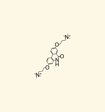 C[N+](C)(C)CCCOc1ccc2c(c1)[nH]c(=O)c1cc(OCCC[N+](C)(C)C)ccc12